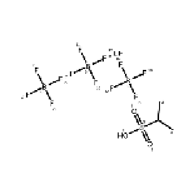 CC(C)S(=O)(=O)O.F[B-](F)(F)F.F[B-](F)(F)F.F[B-](F)(F)F.[LiH]